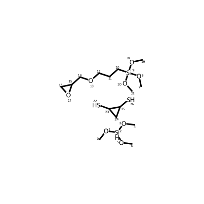 CO[SiH](OC)OC.CO[Si](CCCOCC1CO1)(OC)OC.SC1CC1S